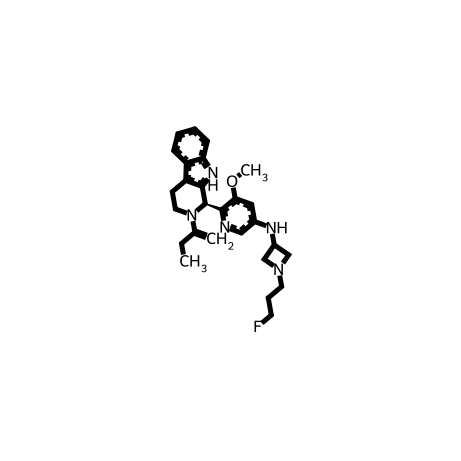 C=C(CC)N1CCc2c([nH]c3ccccc23)[C@H]1c1ncc(NC2CN(CCCF)C2)cc1OC